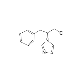 ClCC(Cc1ccccc1)n1ccnc1